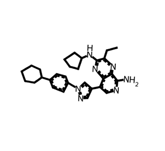 CCc1nc2c(N)ncc(-c3cnn(-c4ccc(C5CCCCC5)cc4)c3)c2nc1NC1CCCC1